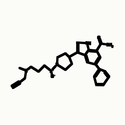 C#CCN(C)CCC[S+]([O-])N1CCC(c2c[nH]c3c(C(N)=O)cc(-c4ccccc4)cc23)CC1